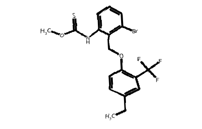 CCc1ccc(OCc2c(Br)cccc2NC(=S)OC)c(C(F)(F)F)c1